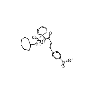 CN(C(=O)/C=C/c1ccc([N+](=O)[O-])cc1)C1(S(=O)(=O)NC2CCCCCC2)C=CC=CC1